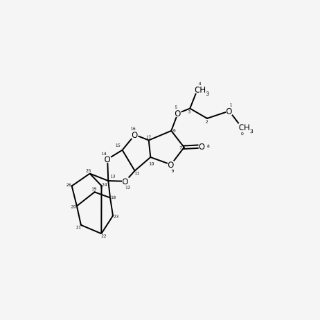 COCC(C)OC1C(=O)OC2C3OC4(OC3OC12)C1CC2CC(C1)CC4C2